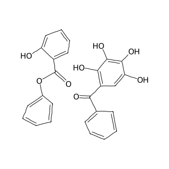 O=C(Oc1ccccc1)c1ccccc1O.O=C(c1ccccc1)c1cc(O)c(O)c(O)c1O